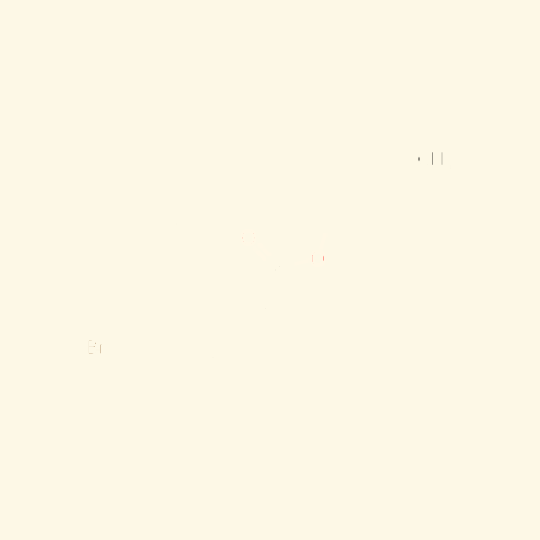 CCCCOC(=O)c1ccccc1-c1ccccc1CBr